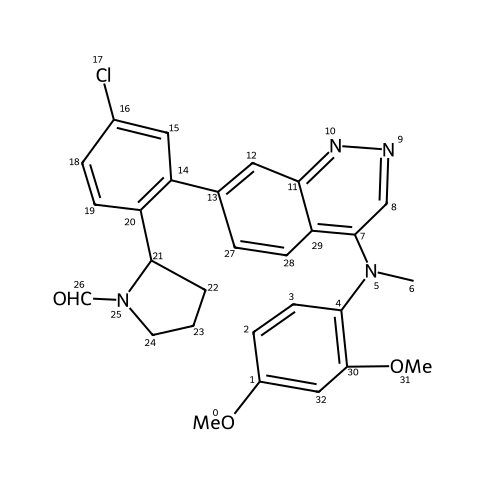 COc1ccc(N(C)c2cnnc3cc(-c4cc(Cl)ccc4C4CCCN4C=O)ccc23)c(OC)c1